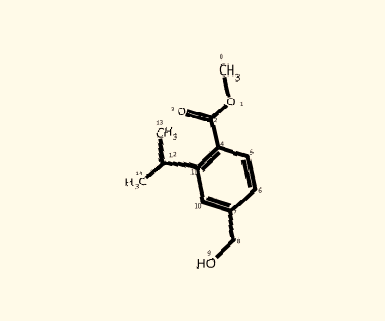 COC(=O)c1ccc(CO)cc1C(C)C